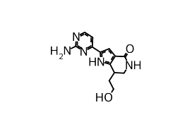 Nc1nccc(-c2cc3c([nH]2)C(CCO)CNC3=O)n1